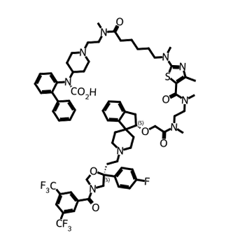 Cc1nc(N(C)CCCCCC(=O)N(C)CCN2CCC(N(C(=O)O)c3ccccc3-c3ccccc3)CC2)sc1C(=O)N(C)CCN(C)C(=O)CO[C@H]1Cc2ccccc2C12CCN(CC[C@]1(c3ccc(F)cc3)CN(C(=O)c3cc(C(F)(F)F)cc(C(F)(F)F)c3)CO1)CC2